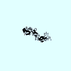 CC1(C)NCCc2cc(Nc3ncc4c(=O)n(CC(F)(F)F)n(-c5cc(C6(O)CCC6)ncc5F)c4n3)ccc21